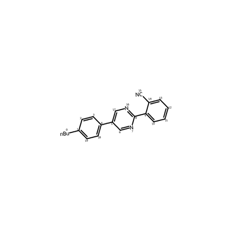 CCCCc1ccc(-c2cnc(-c3ccccc3C#N)nc2)cc1